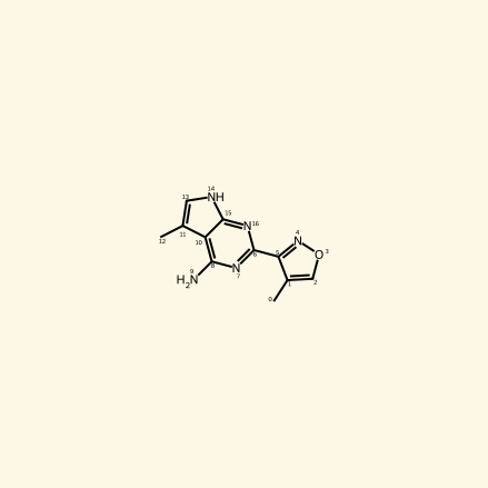 Cc1conc1-c1nc(N)c2c(C)c[nH]c2n1